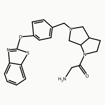 NCC(=O)N1CCC2CN(Cc3ccc(Oc4nc5ccccc5s4)cc3)CC21